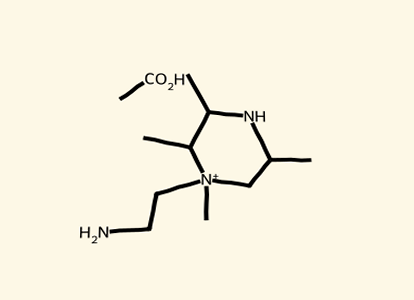 CC(=O)O.CC1C[N+](C)(CCN)C(C)C(C)N1